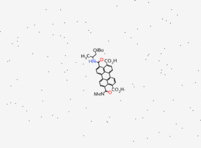 CNC(=O)c1ccc2c3ccc(C(=O)NC(C)COCC(C)C)c4c(C(=O)O)ccc(c5ccc(C(=O)O)c1c52)c43